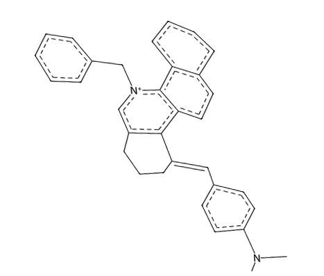 CN(C)c1ccc(C=C2CCCc3c[n+](Cc4ccccc4)c4c(ccc5ccccc54)c32)cc1